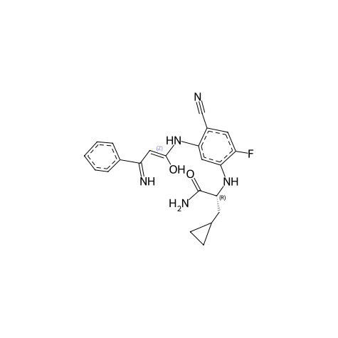 N#Cc1cc(F)c(N[C@H](CC2CC2)C(N)=O)cc1N/C(O)=C/C(=N)c1ccccc1